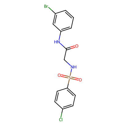 O=C(CNS(=O)(=O)c1ccc(Cl)cc1)Nc1cccc(Br)c1